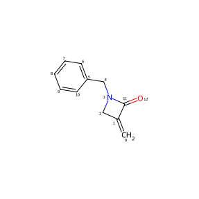 C=C1CN(Cc2ccccc2)C1=O